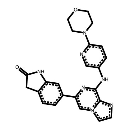 O=C1Cc2ccc(-c3cn4ccnc4c(Nc4ccc(N5CCOCC5)nc4)n3)cc2N1